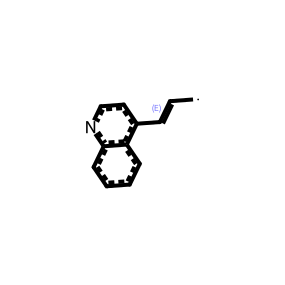 [CH2]/C=C/c1ccnc2ccccc12